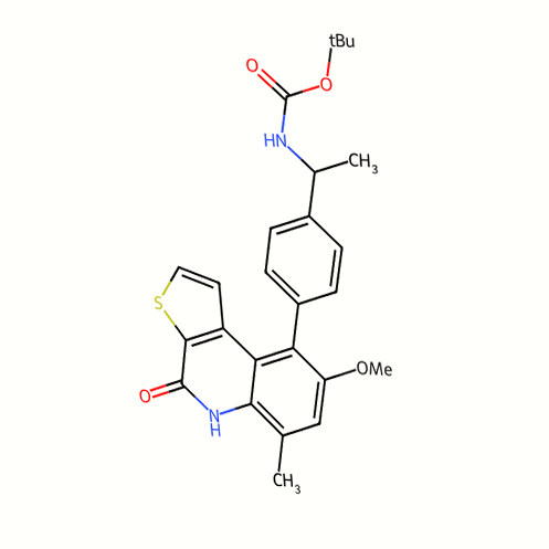 COc1cc(C)c2[nH]c(=O)c3sccc3c2c1-c1ccc(C(C)NC(=O)OC(C)(C)C)cc1